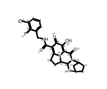 O=C(NCc1cccc(Cl)c1F)c1c2n3c(c(O)c1=O)C(=O)N1C4CCC(C4)OC1C3CC2